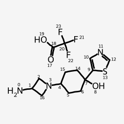 NC1CN(C2CCC(O)(c3cncs3)CC2)C1.O=C(O)C(F)(F)F